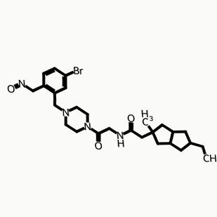 CCC1CC2CC(C)(CC(=O)NCC(=O)N3CCN(Cc4cc(Br)ccc4CN=O)CC3)CC2C1